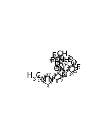 CCN1CCCN(c2ccc3nc(-c4ccc(F)c(OC)c4)n(CC(=O)N[C@@H](C)C(F)(F)F)c(=O)c3c2)CC1